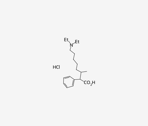 CCN(CC)CCCCCC(C)C(C(=O)O)c1ccccc1.Cl